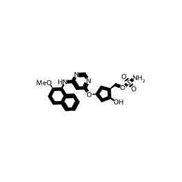 CO[C@H]1CCc2ccccc2[C@@H]1Nc1cc(O[C@@H]2C[C@@H](COS(N)(=O)=O)[C@@H](O)C2)ncn1